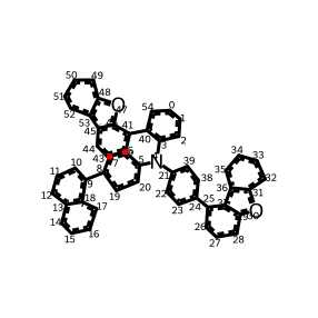 c1ccc(N(c2ccc(-c3cccc4ccccc34)cc2)c2ccc(-c3cccc4oc5ccccc5c34)cc2)c(-c2cccc3c2oc2ccccc23)c1